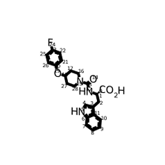 O=C(O)[C@@H](Cc1c[nH]c2ccccc12)NC(=O)N1CCC(Oc2ccc(F)cc2)CC1